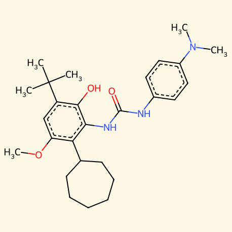 COc1cc(C(C)(C)C)c(O)c(NC(=O)Nc2ccc(N(C)C)cc2)c1C1CCCCCC1